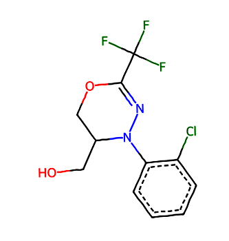 OCC1COC(C(F)(F)F)=NN1c1ccccc1Cl